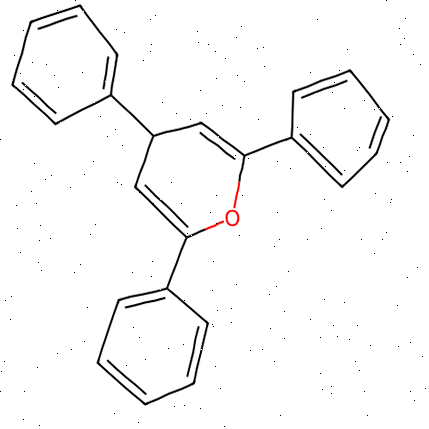 C1=C(c2ccccc2)OC(c2ccccc2)=CC1c1ccccc1